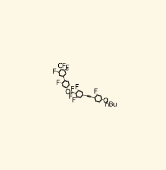 CCCCOc1ccc(C#Cc2cc(F)c(C(F)(F)Oc3ccc(-c4cc(F)c(C(F)(F)F)c(F)c4)c(F)c3)c(F)c2)c(F)c1